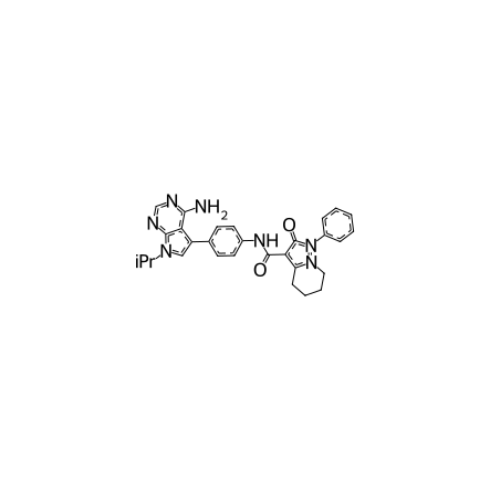 CC(C)n1cc(-c2ccc(NC(=O)c3c4n(n(-c5ccccc5)c3=O)CCCC4)cc2)c2c(N)ncnc21